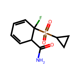 NC(=O)C1C=CC=CC1(F)S(=O)(=O)C1CC1